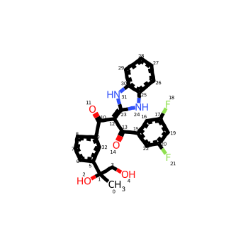 CC(O)(CO)c1cccc(C(=O)C(C(=O)c2cc(F)cc(F)c2)=C2Nc3ccccc3N2)c1